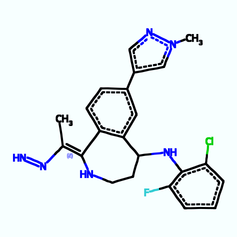 C/C(N=N)=C1/NCCC(Nc2c(F)cccc2Cl)c2cc(-c3cnn(C)c3)ccc21